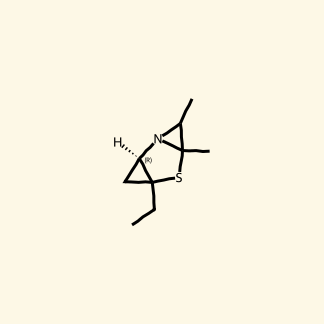 CCC12C[C@H]1N1C(C)C1(C)S2